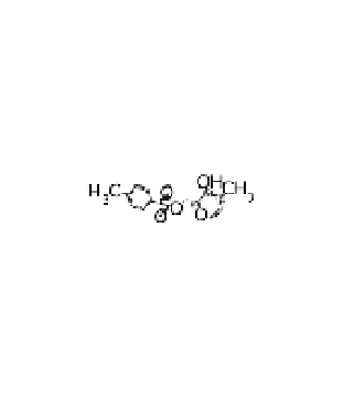 Cc1ccc(S(=O)(=O)OC[C@H]2OC=C[C@@H](C)[C@@H]2O)cc1